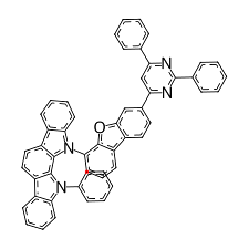 c1ccc(-c2cc(-c3ccc4c(c3)oc3c(-n5c6ccccc6c6ccc7c8ccccc8n(-c8ccccc8)c7c65)cccc34)nc(-c3ccccc3)n2)cc1